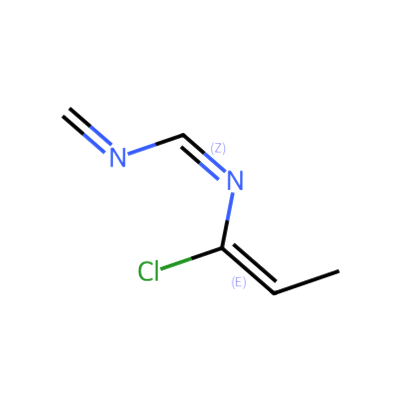 C=N/C=N\C(Cl)=C/C